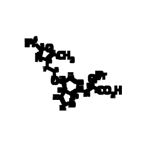 Cc1oc(C(C)C)nc1CCOc1ccc(CC(OC(C)C)C(=O)O)c2sccc12